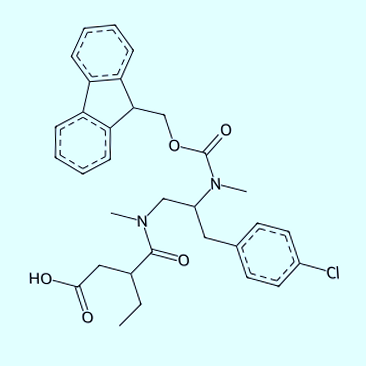 CCC(CC(=O)O)C(=O)N(C)CC(Cc1ccc(Cl)cc1)N(C)C(=O)OCC1c2ccccc2-c2ccccc21